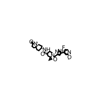 COc1cc(-c2cc(C(=O)N3CC[C@H](C(=O)N[C@H]4CC[C@]5(CCC(=O)N5C)CC4)CC34CC4)n[nH]2)c(F)cn1